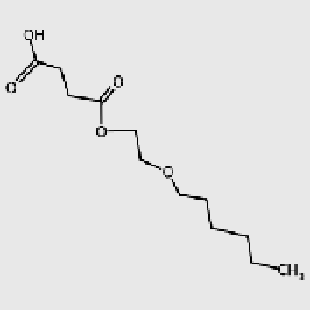 CCCCCCOCCOC(=O)CCC(=O)O